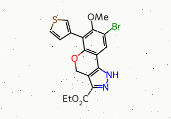 CCOC(=O)c1n[nH]c2c1COc1c-2cc(Br)c(OC)c1-c1ccsc1